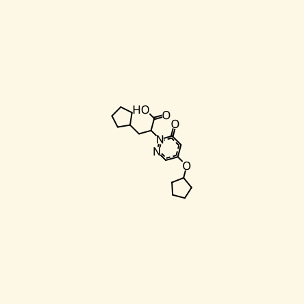 O=C(O)C(CC1CCCC1)n1ncc(OC2CCCC2)cc1=O